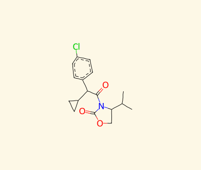 CC(C)C1COC(=O)N1C(=O)C(c1ccc(Cl)cc1)C1CC1